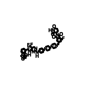 CN(c1cccc(CNc2nc(Nc3ccc(N4CCC(N5CCN(Cc6cc(F)c7c(c6)C(=O)N(C6CCC(=O)NC6=O)C7=O)CC5)CC4)cc3)ncc2C(F)(F)F)c1)S(C)(=O)=O